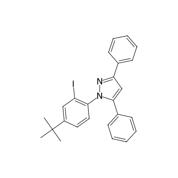 CC(C)(C)c1ccc(-n2nc(-c3ccccc3)cc2-c2ccccc2)c(I)c1